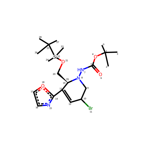 CC(C)(C)OC(=O)NN1CC(Br)C=C(c2ncco2)[C@H]1CO[Si](C)(C)C(C)(C)C